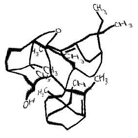 CC1=C2CC(CC1C1(C3C(O)C4CC5(OC35C)C4(C)C)CC3CC(=C1C)C3(C)C)C2(C)C